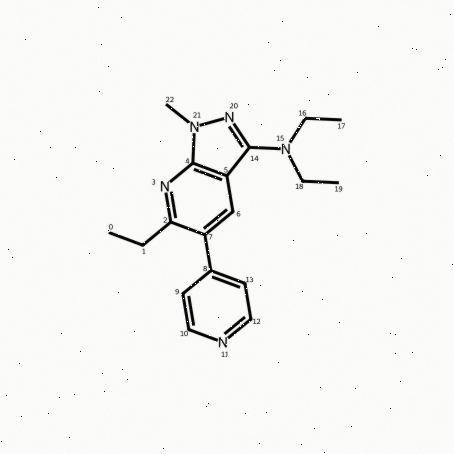 CCc1nc2c(cc1-c1ccncc1)c(N(CC)CC)nn2C